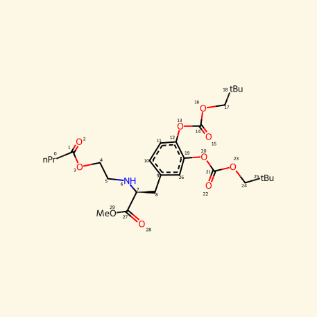 CCCC(=O)OCCN[C@@H](Cc1ccc(OC(=O)OCC(C)(C)C)c(OC(=O)OCC(C)(C)C)c1)C(=O)OC